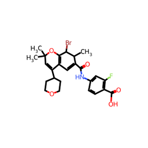 CC1C(C(=O)Nc2ccc(C(=O)O)c(F)c2)=CC2=C(OC(C)(C)C=C2C2CCOCC2)C1Br